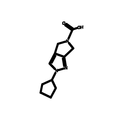 O=C(O)N1Cc2cn(C3CCCC3)nc2C1